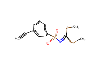 C#Cc1cccc(S(=O)(=O)N=C(SC)SC)c1